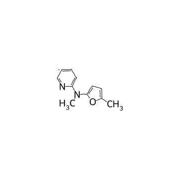 Cc1ccc(N(C)c2cc[c]cn2)o1